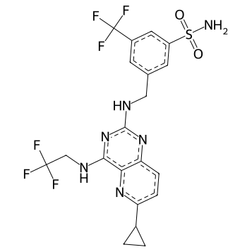 NS(=O)(=O)c1cc(CNc2nc(NCC(F)(F)F)c3nc(C4CC4)ccc3n2)cc(C(F)(F)F)c1